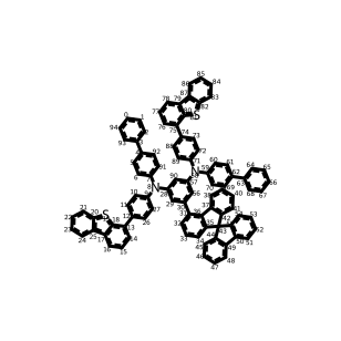 c1ccc(-c2ccc(N(c3ccc(-c4cccc5c4sc4ccccc45)cc3)c3cc(-c4cccc5c4-c4ccccc4C54c5ccccc5-c5ccccc54)cc(N(c4ccc(-c5ccccc5)cc4)c4ccc(-c5cccc6c5sc5ccccc56)cc4)c3)cc2)cc1